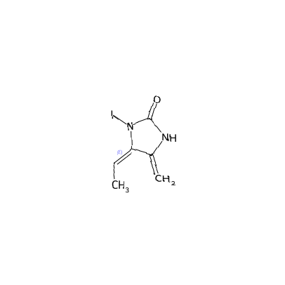 C=c1[nH]c(=O)n(I)/c1=C/C